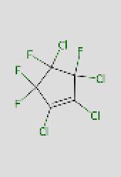 FC1(F)C(Cl)=C(Cl)C(F)(Cl)C1(F)Cl